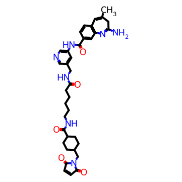 CC1=Cc2ccc(C(=O)Nc3cncc(CNC(=O)CCCCCNC(=O)C4CCC(CN5C(=O)C=CC5=O)CC4)c3)cc2N=C(N)C1